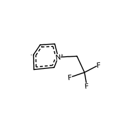 FC(F)(F)C[n+]1cc[c]cc1